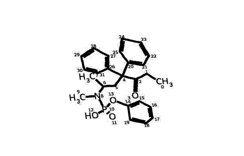 CCC(=O)C(CC(C)N(C)P(=O)(O)Oc1ccccc1)(c1ccccc1)c1ccccc1